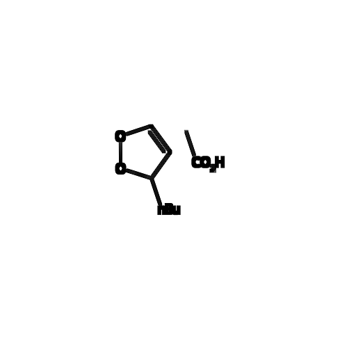 CC(=O)O.CCCCC1C=COO1